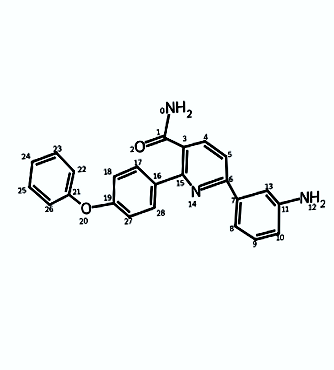 NC(=O)c1ccc(-c2cccc(N)c2)nc1-c1ccc(Oc2ccccc2)cc1